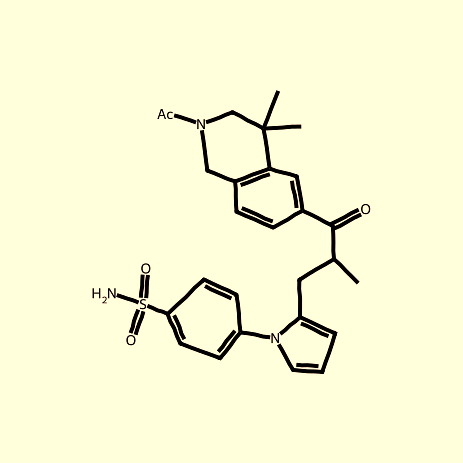 CC(=O)N1Cc2ccc(C(=O)C(C)Cc3cccn3-c3ccc(S(N)(=O)=O)cc3)cc2C(C)(C)C1